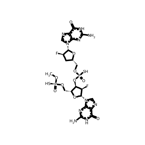 CO[P@](=O)(S)OC[C@H]1O[C@@H](n2cnc3c(=O)[nH]c(N)nc32)[C@H](F)[C@@H]1OP(=O)(S)OC[C@@H]1C[C@@H](F)[C@H](n2cnc3c(=O)[nH]c(N)nc32)O1